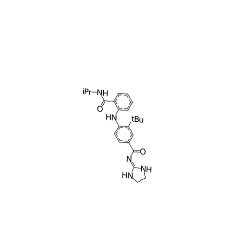 CC(C)NC(=O)c1ccccc1Nc1ccc(C(=O)N=C2NCCN2)cc1C(C)(C)C